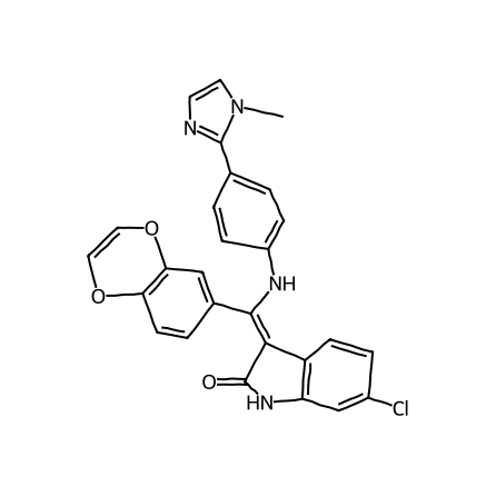 Cn1ccnc1-c1ccc(NC(=C2C(=O)Nc3cc(Cl)ccc32)c2ccc3c(c2)OC=CO3)cc1